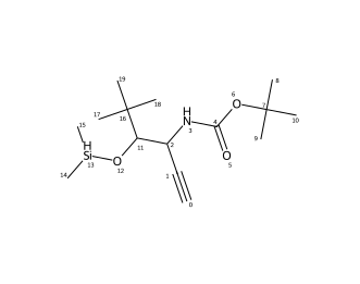 C#CC(NC(=O)OC(C)(C)C)C(O[SiH](C)C)C(C)(C)C